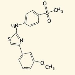 COc1cccc(-c2csc(Nc3ccc(S(C)(=O)=O)cc3)n2)c1